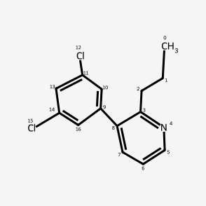 CCCc1ncccc1-c1cc(Cl)cc(Cl)c1